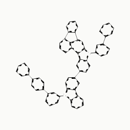 c1ccc(-c2ccc(-c3cccc(-n4c5ccccc5c5cc(-c6ccc7c(c6)c6c8cccc9c8c(cc6n7-c6cccc(-c7ccccc7)c6)-c6ccccc6-9)ccc54)c3)cc2)cc1